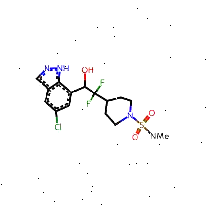 CNS(=O)(=O)N1CCC(C(F)(F)C(O)c2cc(Cl)cc3cn[nH]c23)CC1